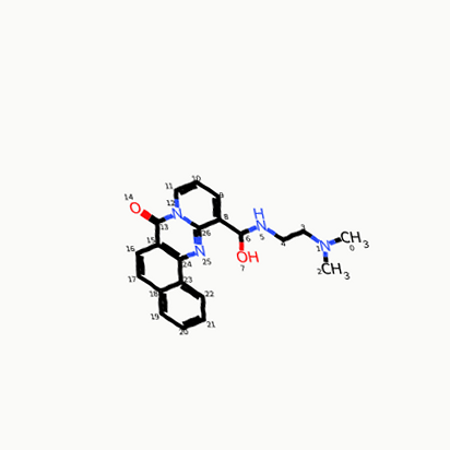 CN(C)CCNC(O)c1cccn2c(=O)c3ccc4ccccc4c3nc12